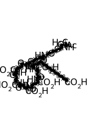 CC(=O)[C@H](C)NC(=O)COCCOCCNC(=O)COCCOCCNC(=O)CC[C@@H](NC(=O)CC[C@H](NC(=O)CC[C@@H](NC(=O)CC[C@H](NC(=O)CC[C@@H](NC(=O)CCCCCCCCCCCCCCCCC(=O)O)C(=O)O)C(=O)O)C(=O)O)C(=O)O)C(=O)O